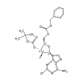 CC(C)(C)OC(=O)O[C@H]1[C@H](F)[C@H](n2cnc3c(N)nc(Cl)nc32)O[C@@H]1COC(=O)OCc1ccccc1